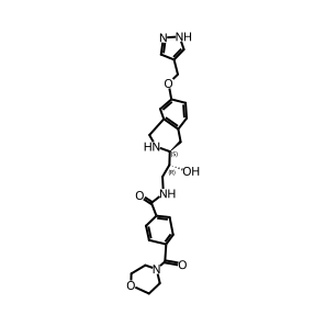 O=C(NC[C@@H](O)[C@@H]1Cc2ccc(OCc3cn[nH]c3)cc2CN1)c1ccc(C(=O)N2CCOCC2)cc1